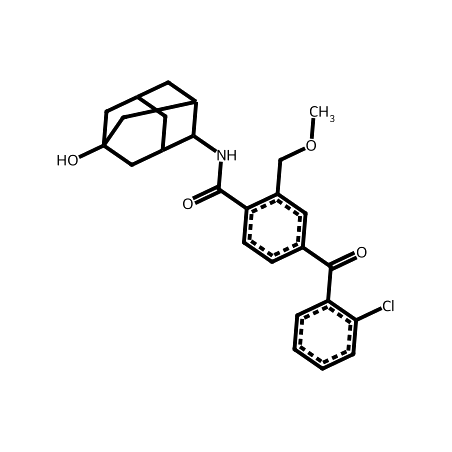 COCc1cc(C(=O)c2ccccc2Cl)ccc1C(=O)NC1C2CC3CC1CC(O)(C3)C2